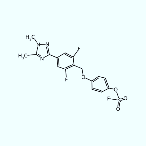 Cc1nc(-c2cc(F)c(COc3ccc(OS(=O)(=O)F)cc3)c(F)c2)nn1C